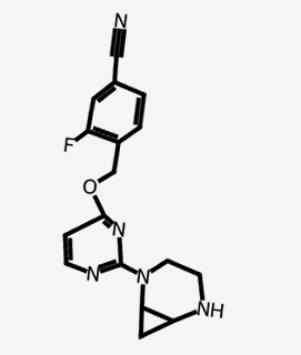 N#Cc1ccc(COc2ccnc(N3CCNC4CC43)n2)c(F)c1